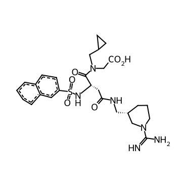 N=C(N)N1CCC[C@@H](CNC(=O)C[C@H](NS(=O)(=O)c2ccc3ccccc3c2)C(=O)N(CC(=O)O)CC2CC2)C1